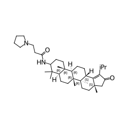 CC(C)C1=C2[C@H]3CC[C@@H]4[C@@]5(C)CCC(NC(=O)CCN6CCCC6)C(C)(C)[C@@H]5CC[C@@]4(C)[C@]3(C)CC[C@@]2(C)CC1=O